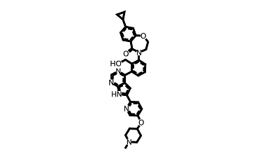 CN1CCC(Oc2ccc(-c3cc4c(-c5cccc(N6CCOc7cc(C8CC8)ccc7C6=O)c5CO)ncnc4[nH]3)nc2)CC1